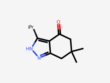 CC(C)c1[nH]nc2c1C(=O)CC(C)(C)C2